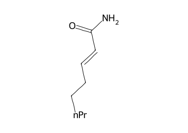 CCCCCC=CC(N)=O